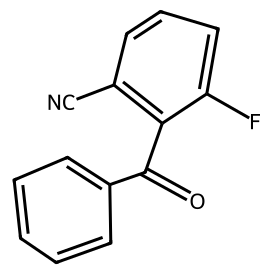 N#Cc1cccc(F)c1C(=O)c1ccccc1